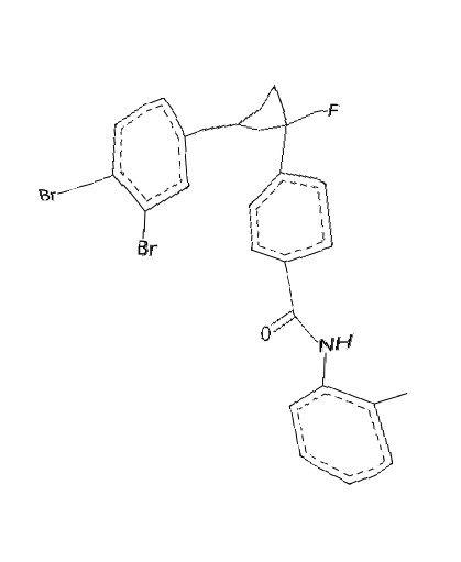 Cc1ccccc1NC(=O)c1ccc(C2(F)CC2c2ccc(Br)c(Br)c2)cc1